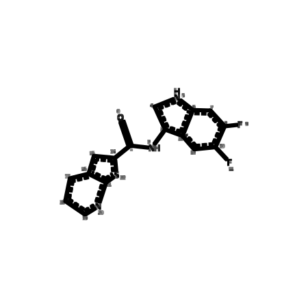 O=C(Nc1c[nH]c2cc(F)c(F)cc12)c1cc2cccnc2s1